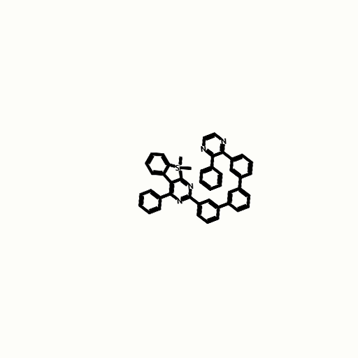 C[Si]1(C)c2ccccc2-c2c(-c3ccccc3)nc(-c3cccc(-c4cccc(-c5cccc(-c6nccnc6-c6ccccc6)c5)c4)c3)nc21